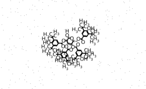 CC(C)(C)c1cc(C(=O)OC[C@H]2O[C@H](O)[C@H](OC(=O)c3cc(C(C)(C)C)c(O)c(C(C)(C)C)c3)[C@@H](OC(=O)c3cc(C(C)(C)C)c(O)c(C(C)(C)C)c3)[C@@H]2OC(=O)c2cc(C(C)(C)C)c(O)c(C(C)(C)C)c2)cc(C(C)(C)C)c1O